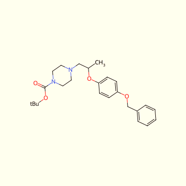 CC(CN1CCN(C(=O)OC(C)(C)C)CC1)Oc1ccc(OCc2ccccc2)cc1